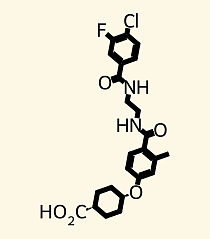 Cc1cc(O[C@H]2CC[C@@H](C(=O)O)CC2)ccc1C(=O)NCCNC(=O)c1ccc(Cl)c(F)c1